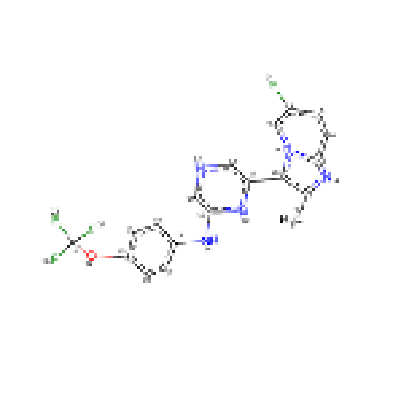 Cc1nc2ccc(F)cn2c1-c1cncc(Nc2ccc(OC(F)(F)F)cc2)n1